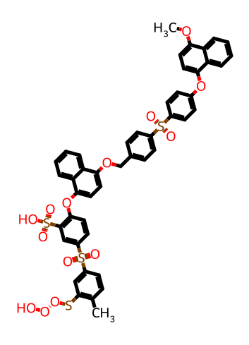 COc1ccc(Oc2ccc(S(=O)(=O)c3ccc(COc4ccc(Oc5ccc(S(=O)(=O)c6ccc(C)c(SOOO)c6)cc5S(=O)(=O)O)c5ccccc45)cc3)cc2)c2ccccc12